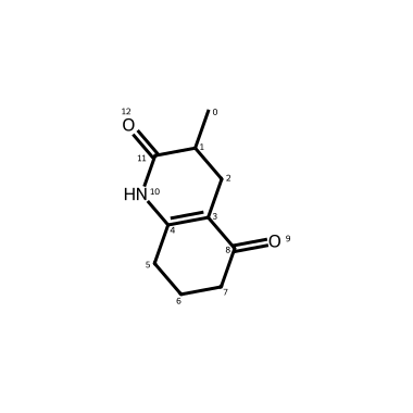 CC1CC2=C(CCCC2=O)NC1=O